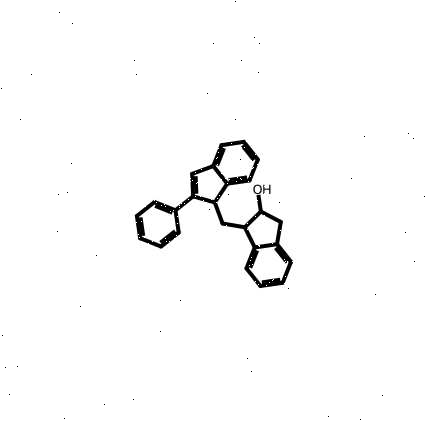 OC1Cc2ccccc2C1CC1C(c2ccccc2)=Cc2ccccc21